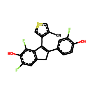 N#Cc1cscc1C1=C(c2ccc(O)c(F)c2)Cc2cc(F)c(O)c(F)c21